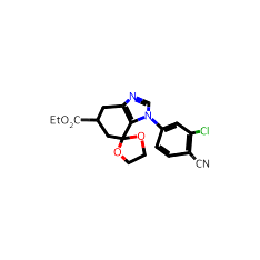 CCOC(=O)C1Cc2ncn(-c3ccc(C#N)c(Cl)c3)c2C2(C1)OCCO2